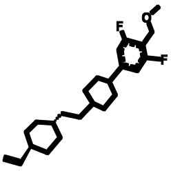 C=C[C@H]1CC[C@H](CCC2CCC(c3cc(F)c(COC)c(F)c3)CC2)CC1